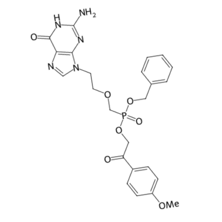 COc1ccc(C(=O)COP(=O)(COCCn2cnc3c(=O)[nH]c(N)nc32)OCc2ccccc2)cc1